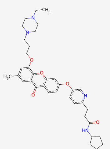 CCN1CCN(CCCOc2cc(C)cc3c(=O)c4ccc(Oc5ccc(CCC(=O)NC6CCCC6)nc5)cc4oc23)CC1